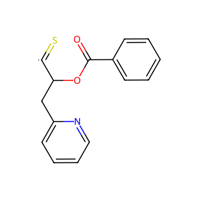 O=C(OC([C]=S)Cc1ccccn1)c1ccccc1